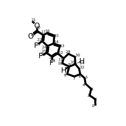 CCCCCCC1CC[C@@H]2CC(c3cc4ccc(C(=O)OC)c(F)c4c(F)c3F)CC[C@H]2C1